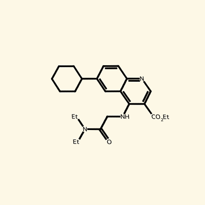 CCOC(=O)c1cnc2ccc(C3CCCCC3)cc2c1NCC(=O)N(CC)CC